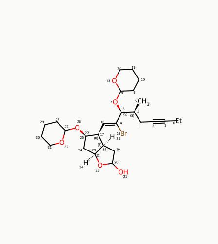 CCC#CC[C@H](C)[C@H](OC1CCCCO1)C(Br)=C[C@H]1[C@H]2CC(O)O[C@H]2C[C@H]1OC1CCCCO1